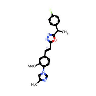 COc1cc(/C=C/c2nnc(C(C)c3ccc(F)cc3)o2)ccc1-n1cnc(C)c1